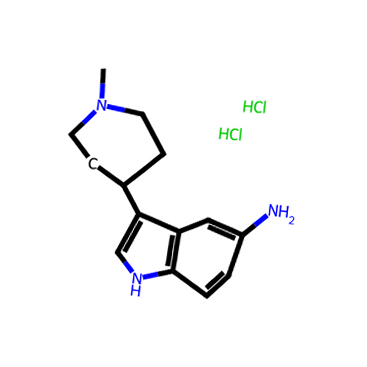 CN1CCC(c2c[nH]c3ccc(N)cc23)CC1.Cl.Cl